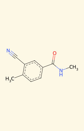 CNC(=O)c1ccc(C)c(C#N)c1